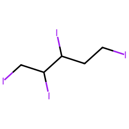 ICCC(I)C(I)CI